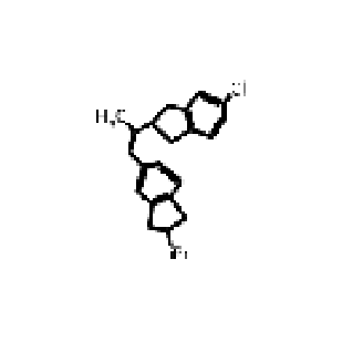 CC(C)C1Cc2ccc(CC(C)C3Cc4ccc(Cl)cc4C3)cc2C1